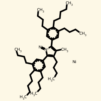 CCCCCc1c(CCCC)cc(C2=C(C)C(CCCC)=C(c3cc(CCCC)c(CCCCC)c(CCCC)c3)[N+]2=[N-])cc1CCCC.[Ni]